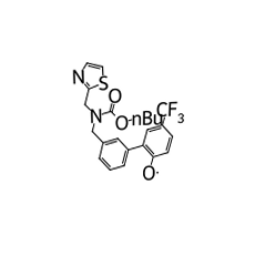 CCCCOC(=O)N(Cc1cccc(-c2cc(C(F)(F)F)ccc2[O])c1)Cc1nccs1